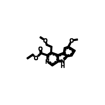 CCOC(=O)c1ncc2[nH]c3ccc(OC)cc3c2c1CCOC